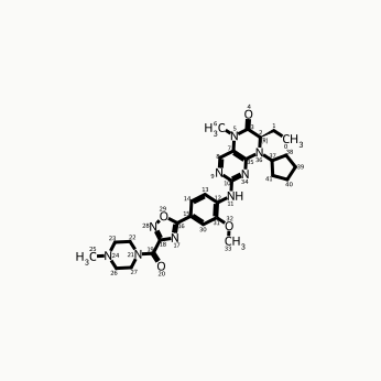 CC[C@@H]1C(=O)N(C)c2cnc(Nc3ccc(-c4nc(C(=O)N5CCN(C)CC5)no4)cc3OC)nc2N1C1CCCC1